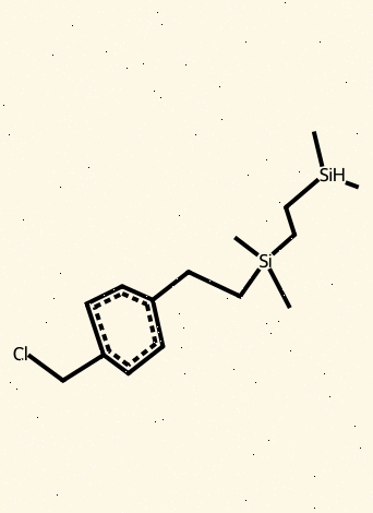 C[SiH](C)CC[Si](C)(C)CCc1ccc(CCl)cc1